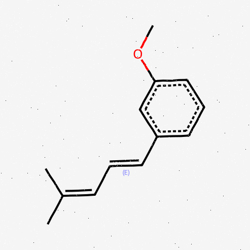 COc1cccc(/C=C/C=C(C)C)c1